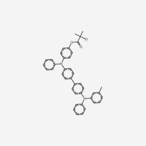 CCC(C)(C)C(=O)Oc1ccc(N(c2ccccc2)c2ccc(-c3ccc(N(c4ccccc4)c4cccc(C)c4)cc3)cc2)cc1